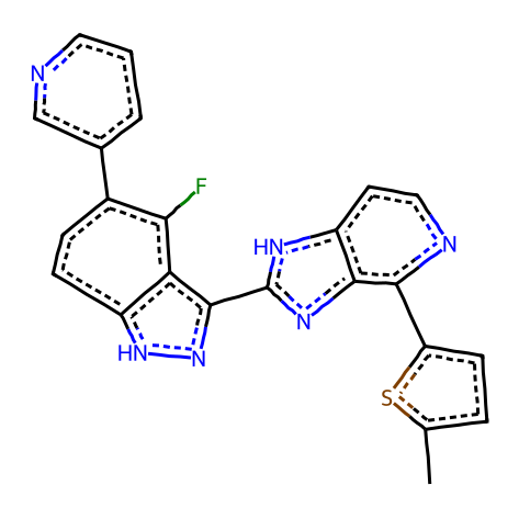 Cc1ccc(-c2nccc3[nH]c(-c4n[nH]c5ccc(-c6cccnc6)c(F)c45)nc23)s1